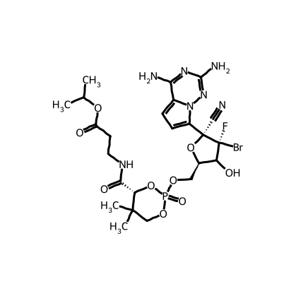 CC(C)OC(=O)CCNC(=O)[C@@H]1OP(=O)(OC[C@H]2O[C@@](C#N)(c3ccc4c(N)nc(N)nn34)[C@@](F)(Br)C2O)OCC1(C)C